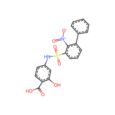 O=C(O)c1ccc(NS(=O)(=O)c2cccc(-c3ccccc3)c2[N+](=O)[O-])cc1O